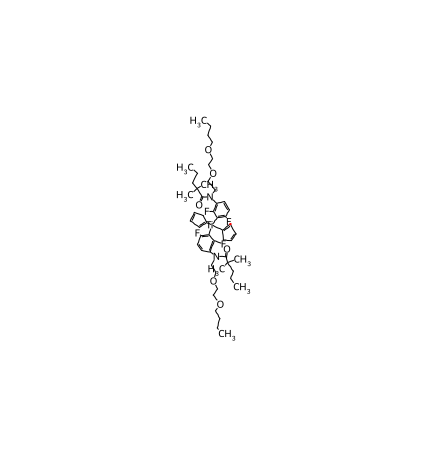 CCCCOCCOCCN(C(=O)C(C)(C)CCC)c1ccc(F)[c]([Ti]([C]2=CC=CC2)([C]2=CC=CC2)[c]2c(F)ccc(N(CCOCCOCCCC)C(=O)C(C)(C)CCC)c2F)c1F